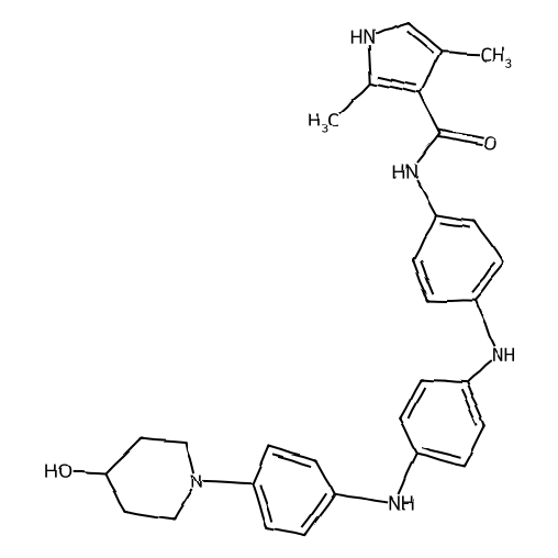 Cc1c[nH]c(C)c1C(=O)Nc1ccc(Nc2ccc(Nc3ccc(N4CCC(O)CC4)cc3)cc2)cc1